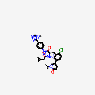 CC(C)n1cc(-c2ccc(Cl)c(C[C@H](NC(=O)CC3CC3)C(=O)Nc3ccc(-c4nncn4C)cc3)c2)ccc1=O